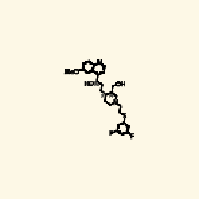 COc1ccc2nccc([C@@H](O)CC[C@@H]3CCN(CCSc4cc(F)cc(F)c4)C[C@@H]3CO)c2c1